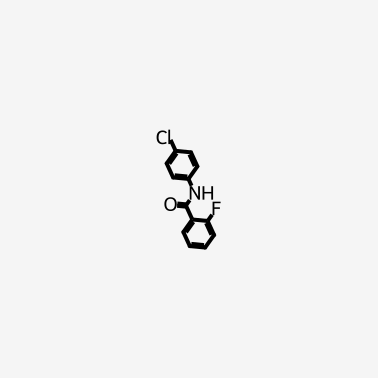 O=C(Nc1ccc(Cl)cc1)c1ccccc1F